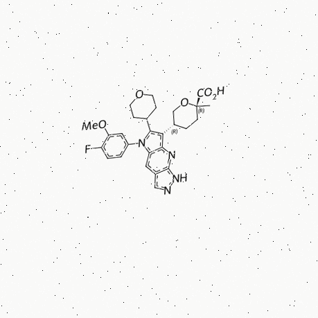 COc1cc(-n2c(C3CCOCC3)c([C@H]3CC[C@](C)(C(=O)O)OC3)c3nc4[nH]ncc4cc32)ccc1F